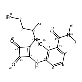 CC(C)CCC(C)Nc1c(Nc2cccc(C(=O)N(C)C)c2O)c(=O)c1=O